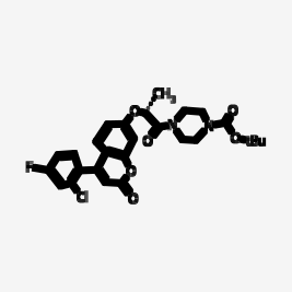 C[C@@H](Oc1ccc2c(-c3ccc(F)cc3Cl)cc(=O)oc2c1)C(=O)N1CCN(C(=O)OC(C)(C)C)CC1